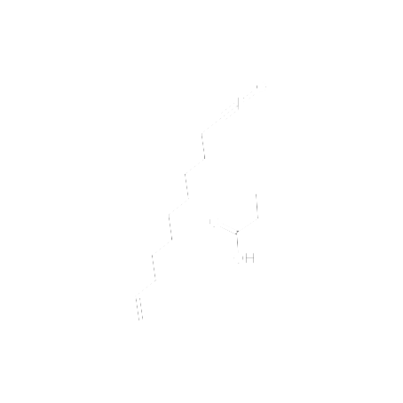 C=CCCCCCCCCC#P=O.CCC(=O)O